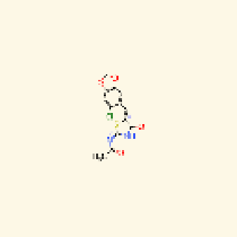 CC(=O)/N=C1\NC(=O)/C(=C/c2cc3c(cc2Cl)OCO3)S1